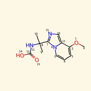 COc1cccn2c(C(C)(C)NC(=O)O)ncc12